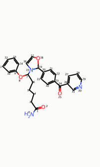 NC(=O)CCCCC(Oc1ccccc1)N1C=COC1c1ccc(C(=O)c2cccnc2)cc1